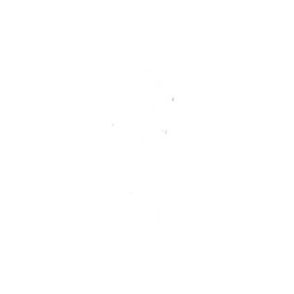 CC/C=C\CCOC(=O)C(N)Cc1c[nH]c2ccccc12.Cl